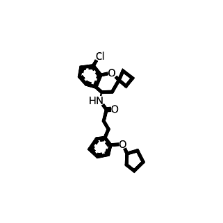 O=C(CCc1ccccc1OC1CCCC1)N[C@H]1CC2(CCC2)Oc2c(Cl)cccc21